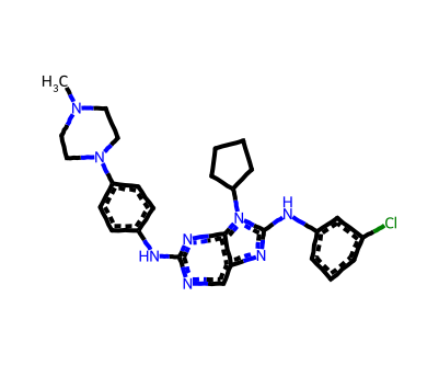 CN1CCN(c2ccc(Nc3ncc4nc(Nc5cccc(Cl)c5)n(C5CCCC5)c4n3)cc2)CC1